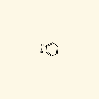 FC(F)(F)Br.c1ccccc1